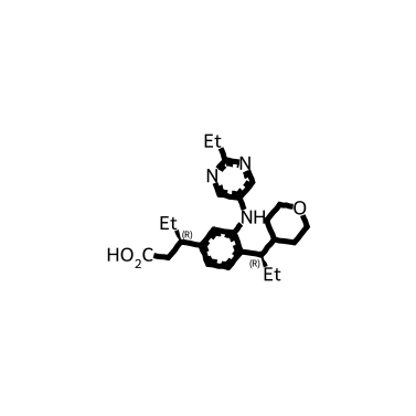 CCc1ncc(Nc2cc([C@H](CC)CC(=O)O)ccc2[C@H](CC)C2CCOCC2)cn1